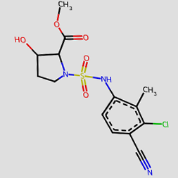 COC(=O)C1C(O)CCN1S(=O)(=O)Nc1ccc(C#N)c(Cl)c1C